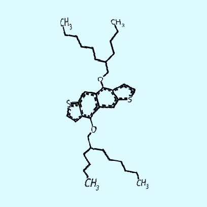 CCCCCCC(CCCC)COc1c2ccsc2cc2c(OCC(CCCC)CCCCCC)c3ccsc3cc12